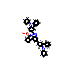 OC1c2ccccc2-c2cc(-c3ccc4c(c3)c3ccccc3n4-c3ccccc3)cc3nc(-c4ccc5c(c4)c4ccccc4n5-c4ccccc4)n1c23